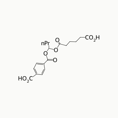 CCCC(OC(=O)CCCCC(=O)O)OC(=O)c1ccc(C(=O)O)cc1